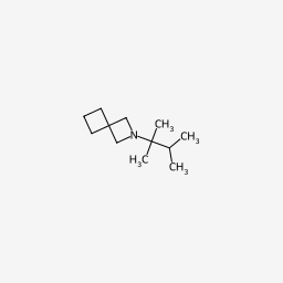 CC(C)C(C)(C)N1CC2(CCC2)C1